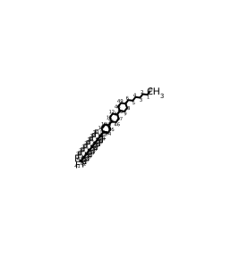 CCCCCCCC1CCC(C2CCC(c3ccc(C(F)(F)C(F)(F)C(F)(F)C(F)(F)C(F)(F)C(F)(F)C(F)(F)C(F)(F)F)cc3)CC2)CC1